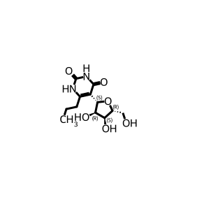 CCCc1[nH]c(=O)[nH]c(=O)c1[C@@H]1O[C@H](CO)[C@@H](O)[C@H]1O